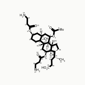 CCCCC(=O)O[C@@H]1C[C@@H]2C[C@H](OC(=O)CCN)CC[C@]2(C)[C@H]2C[C@H](OC(=O)CCN)[C@]3(C)[C@@H]([C@H](C)CCC(=O)O)CC[C@H]3[C@H]12